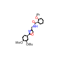 COc1ccc(-c2nc(CNC(=O)c3ccccc3OC(C)C)co2)cc1OCC(C)C